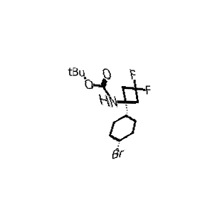 CC(C)(C)OC(=O)NC1([C@H]2CC[C@@H](Br)CC2)CC(F)(F)C1